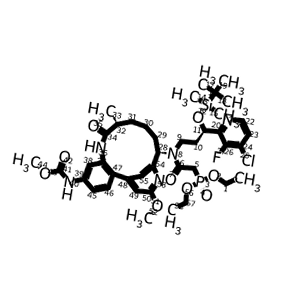 CCOP(=O)(CC(=O)N(CC[C@@H](O[Si](C)(C)C(C)(C)C)c1nccc(Cl)c1F)[C@H]1CCC[C@@H](C)C(=O)Nc2cc(NC(=O)OC)ccc2-c2cc(OC)nc1c2)OCC